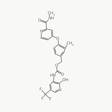 CNC(=O)c1cc(Oc2ccc(COC(=O)Nc3cc(C(F)(F)F)cnc3O)cc2C)ccn1